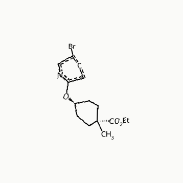 CCOC(=O)[C@]1(C)CC[C@@H](Oc2ccc(Br)cn2)CC1